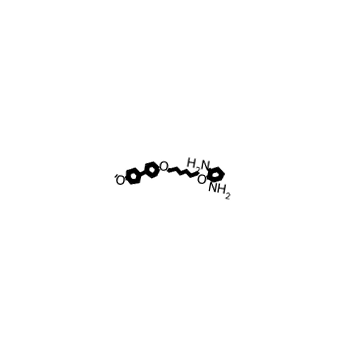 COc1ccc(-c2ccc(OCCCCCCOc3c(N)cccc3N)cc2)cc1